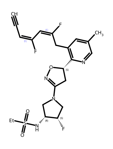 C#C/C=C(F)\C=C(\F)Cc1cc(C)cnc1[C@@H]1CC(N2C[C@H](F)[C@H](NS(=O)(=O)CC)C2)=NO1